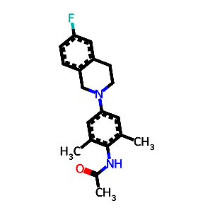 CC(=O)Nc1c(C)cc(N2CCc3cc(F)ccc3C2)cc1C